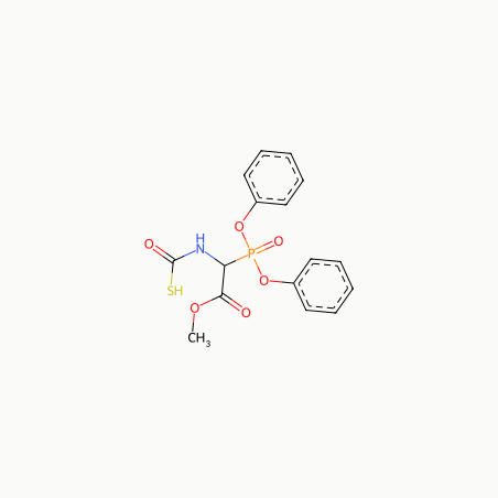 COC(=O)C(NC(=O)S)P(=O)(Oc1ccccc1)Oc1ccccc1